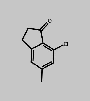 Cc1cc(Cl)c2c(c1)CCC2=O